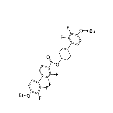 CCCCOc1ccc(C2=CCC(OC(=O)c3ccc(-c4ccc(OCC)c(F)c4F)c(F)c3F)CC2)c(F)c1F